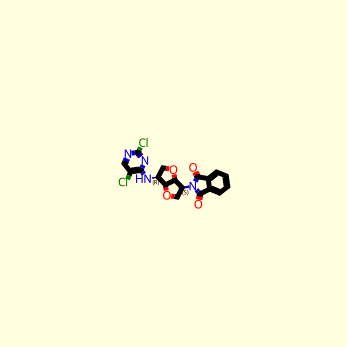 O=C1c2ccccc2C(=O)N1[C@H]1COC2C1OC[C@H]2Nc1nc(Cl)ncc1Cl